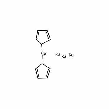 C1=C[CH]([Co][CH]2C=CC=C2)C=C1.[Ru].[Ru].[Ru]